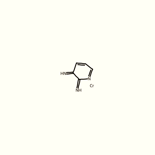 N=C1C=CC=NC1=N.[Cr]